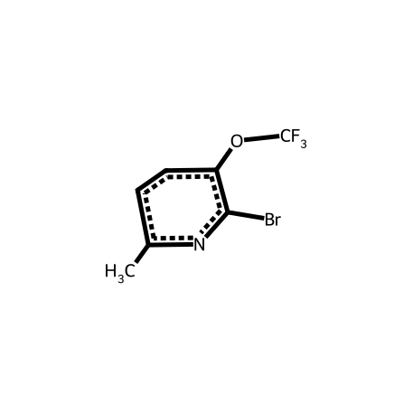 Cc1ccc(OC(F)(F)F)c(Br)n1